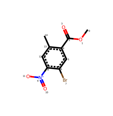 COC(=O)c1cc(Br)c([N+](=O)[O-])cc1C